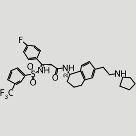 O=C(C[C@@H](NS(=O)(=O)c1cccc(C(F)(F)F)c1)c1ccc(F)cc1)N[C@@H]1CCCc2cc(CCNC3CCCC3)ccc21